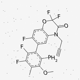 C#CCN1C(=O)C(F)(F)Oc2cc(F)c(-c3c(F)c(F)c(C)c(OC)c3P)cc21